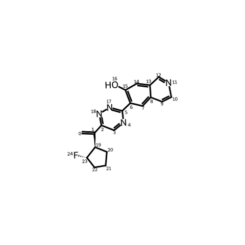 C=C(c1cnc(-c2cc3ccncc3cc2O)nn1)[C@H]1CCC[C@@H]1F